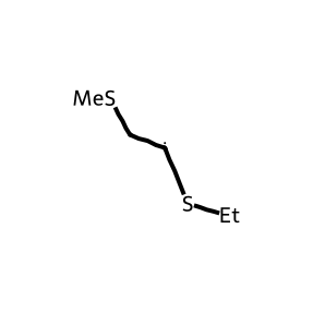 CCS[CH]CSC